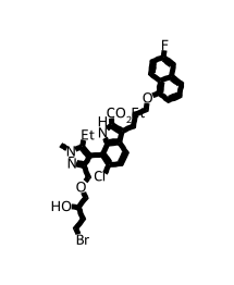 CCOC(=O)c1[nH]c2c(-c3c(COCC(O)CCBr)nn(C)c3CC)c(Cl)ccc2c1CCCOc1cccc2cc(F)ccc12